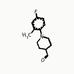 Cc1cc(F)ccc1N1CCC(C=O)CC1